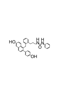 O=C(NCCCc1ccccc1Cc1c(-c2ccc(O)cc2)ccc2cc(O)ccc12)Nc1ccccc1